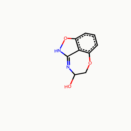 OC1COc2cccc3c2C(=N1)NO3